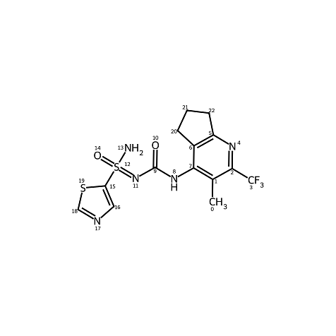 Cc1c(C(F)(F)F)nc2c(c1NC(=O)N=S(N)(=O)c1cncs1)CCC2